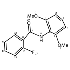 COc1cccc(OC)c1NC(=O)c1ccccc1F